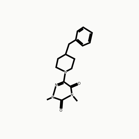 Cn1nc(N2CCC(Cc3ccccc3)CC2)c(=O)n(C)c1=O